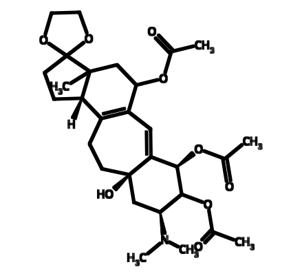 CC(=O)OC1CC2(C)[C@@H](CCC23OCCO3)C2=C1C=C1[C@@H](OC(C)=O)C(OC(C)=O)[C@@H](N(C)C)C[C@]1(O)CC2